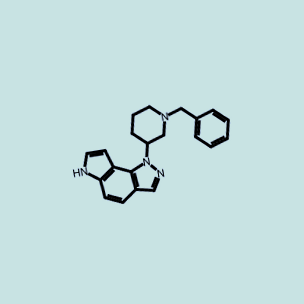 c1ccc(CN2CCCC(n3ncc4ccc5[nH]ccc5c43)C2)cc1